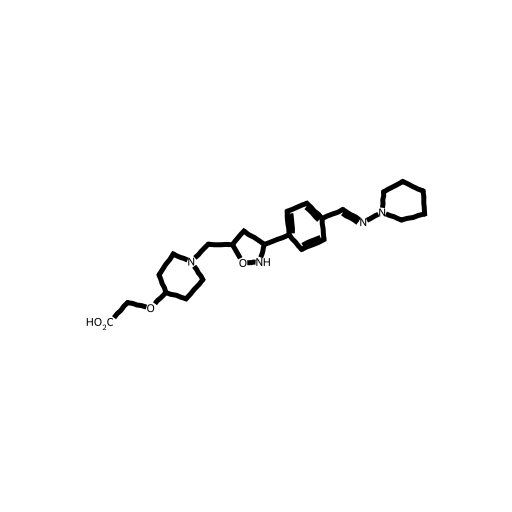 O=C(O)COC1CCN(CC2CC(c3ccc(C=NN4CCCCC4)cc3)NO2)CC1